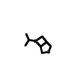 CC(C)N1CC2COCC21